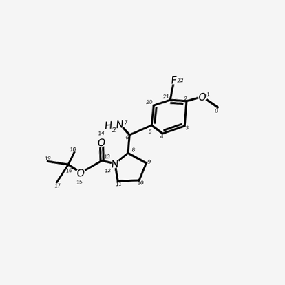 COc1ccc(C(N)C2CCCN2C(=O)OC(C)(C)C)cc1F